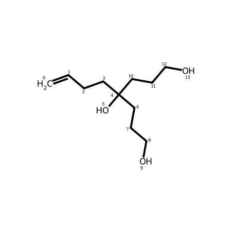 C=CCCC(O)(CCCO)CCCO